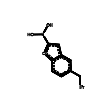 CC(C)Cc1ccc2oc(B(O)O)cc2c1